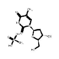 CP(=O)(O)O.Cc1cn([C@H]2C[C@H](O)[C@@H](CO)O2)c(=O)[nH]c1=O